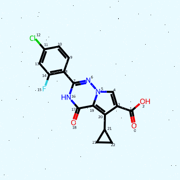 O=C(O)c1cn2nc(-c3ccc(Cl)cc3F)[nH]c(=O)c2c1C1CC1